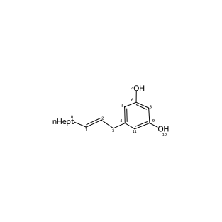 CCCCCCCC=CCc1cc(O)cc(O)c1